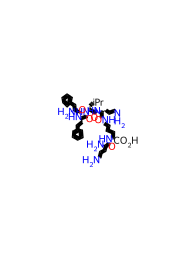 CC(C)C[C@@H](NC(=O)[C@@H](CCc1ccccc1)NC(=O)[C@H](N)Cc1ccccc1)C(=O)N[C@H](CCCN)C(=O)NCCCC[C@@H](NC(=O)[C@H](N)CCCN)C(=O)O